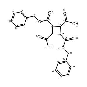 O=C(O)C1C(C(=O)OCc2ccccc2)C(C(=O)O)C1C(=O)OCc1ccccc1